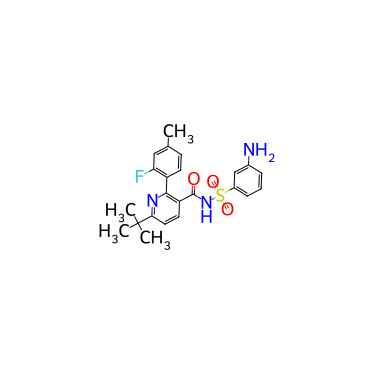 Cc1ccc(-c2nc(C(C)(C)C)ccc2C(=O)NS(=O)(=O)c2cccc(N)c2)c(F)c1